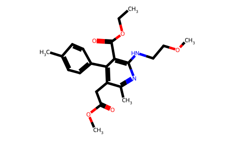 CCOC(=O)c1c(NCCOC)nc(C)c(CC(=O)OC)c1-c1ccc(C)cc1